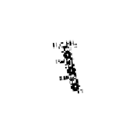 CC1Oc2ccc(CN(Cc3cccc(CN(Cc4cccc(Cl)c4)C(=O)OC(C)(C)C)c3)C(=O)OC(C)(C)C)cc2N=C1N